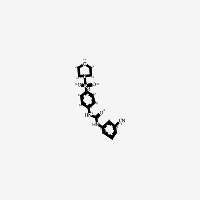 N#Cc1cccc(NC(=O)Nc2ccc(S(=O)(=O)N3CCOCC3)cc2)c1